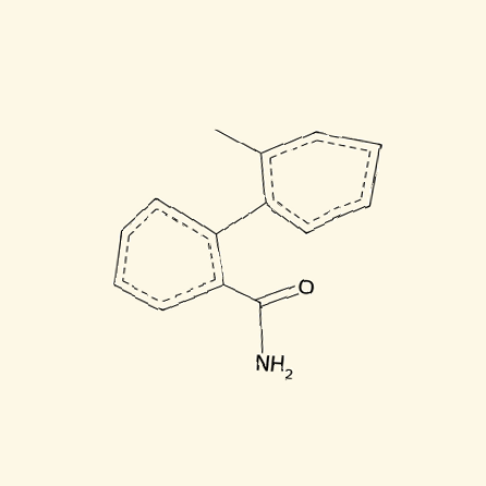 Cc1ccccc1-c1ccccc1C(N)=O